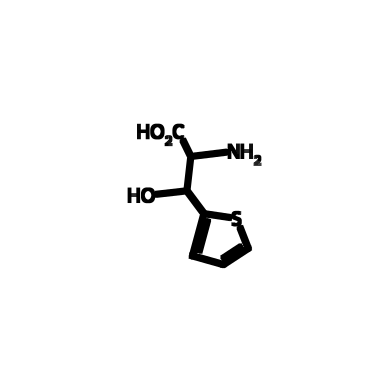 NC(C(=O)O)C(O)c1cccs1